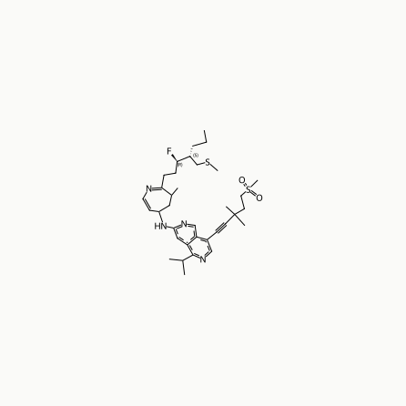 CCC[C@H](CSC)[C@H](F)CCC1=NC=CC(Nc2cc3c(C(C)C)ncc(C#CC(C)(C)CCS(C)(=O)=O)c3cn2)CC1C